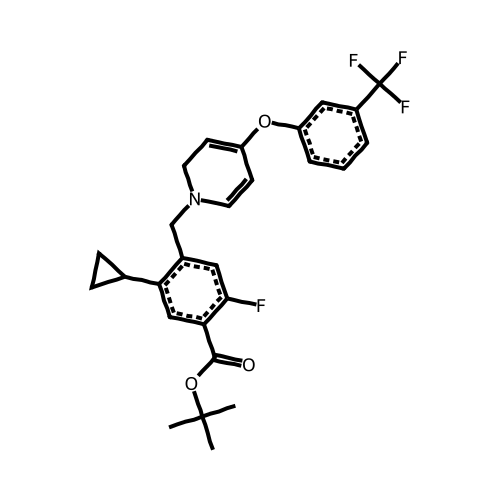 CC(C)(C)OC(=O)c1cc(C2CC2)c(CN2C=CC(Oc3cccc(C(F)(F)F)c3)=CC2)cc1F